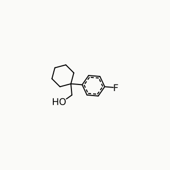 OCC1(c2ccc(F)cc2)CCCCC1